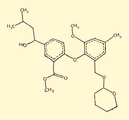 COC(=O)c1cc(C(O)CC(C)C)ccc1Oc1c(COC2CCCCO2)cc(C)cc1OC